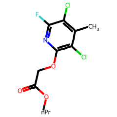 CCCOC(=O)COc1nc(F)c(Cl)c(C)c1Cl